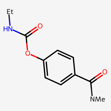 CCNC(=O)Oc1ccc(C(=O)NC)cc1